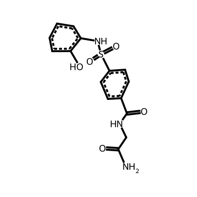 NC(=O)CNC(=O)c1ccc(S(=O)(=O)Nc2ccccc2O)cc1